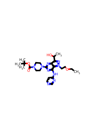 CCOCCn1nc(C(C)O)c2nc(N3CCN(C(=O)OC(C)(C)C)CC3)nc(Nc3ccncn3)c21